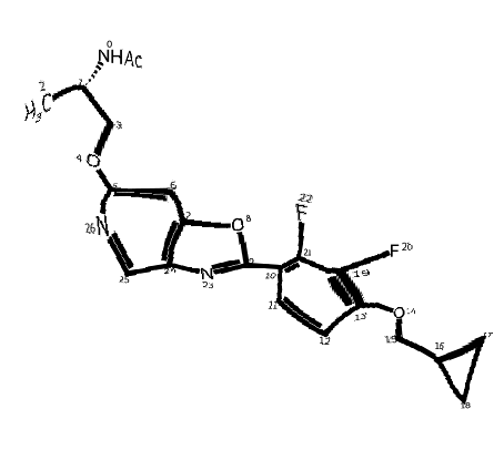 CC(=O)N[C@@H](C)COc1cc2oc(-c3ccc(OCC4CC4)c(F)c3F)nc2cn1